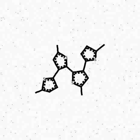 Cc1ccc(-c2cc(C)sc2-c2sc(C)cc2-c2ccc(C)s2)s1